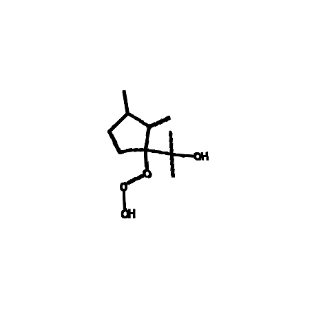 CC1CCC(OOO)(C(C)(C)O)C1C